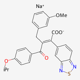 COc1cccc(CC(C(=O)c2ccc(OC(C)C)cc2)=C(C(=O)[O-])c2ccc3nsnc3c2)c1.[Na+]